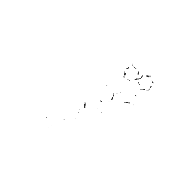 CC(C)C1=C(C(=O)N2[C@H](C)CC[C@H]2C(=O)N2CCN([C@H]3C[C@@H](O)C3)CC2)SC2=N[C@@](C)(c3ccc(Cl)cc3)[C@@H](c3ccc(Cl)cc3)N21